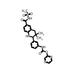 CC1(C)Cc2cc(C(=O)NS(C)(=O)=O)ccc2NC1c1cccc(NC(=O)Oc2cnccn2)c1